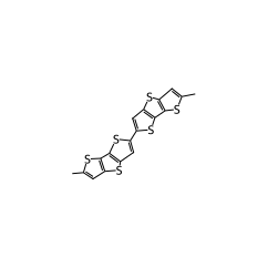 Cc1cc2sc3cc(-c4cc5sc6cc(C)sc6c5s4)sc3c2s1